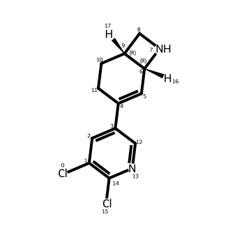 Clc1cc(C2=C[C@H]3NC[C@H]3CC2)cnc1Cl